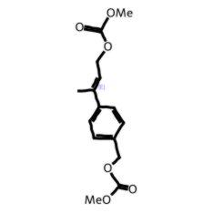 COC(=O)OC/C=C(\C)c1ccc(COC(=O)OC)cc1